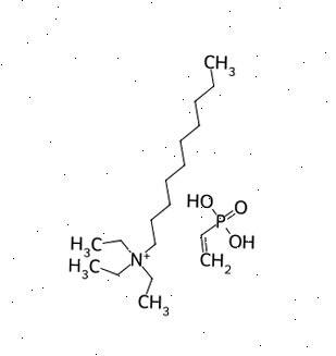 C=CP(=O)(O)O.CCCCCCCCCC[N+](CC)(CC)CC